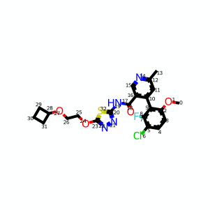 COc1ccc(Cl)c(F)c1-c1cc(C)ncc1C(=O)Nc1nnc(OCCOC2CCC2)s1